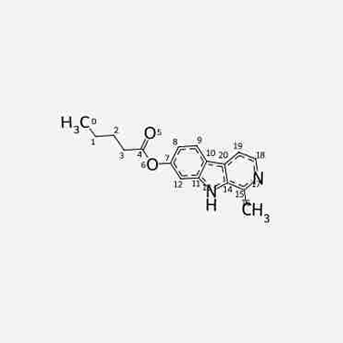 CCCCC(=O)Oc1ccc2c(c1)[nH]c1c(C)nccc12